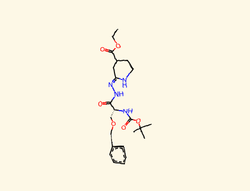 CCOC(=O)C1CCN/C(=N\NC(=O)[C@@H](COCc2ccccc2)NC(=O)OC(C)(C)C)C1